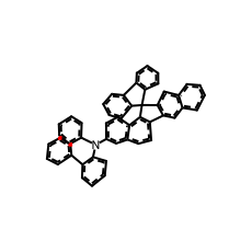 c1ccc(-c2ccccc2N(c2ccccc2)c2ccc3c4c(ccc3c2)-c2cc3ccccc3cc2C42c3ccccc3-c3ccccc32)cc1